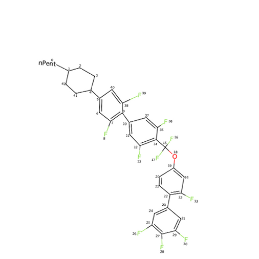 CCCCCC1CCC(c2cc(F)c(-c3cc(F)c(C(F)(F)Oc4ccc(-c5cc(F)c(F)c(F)c5)c(F)c4)c(F)c3)c(F)c2)CC1